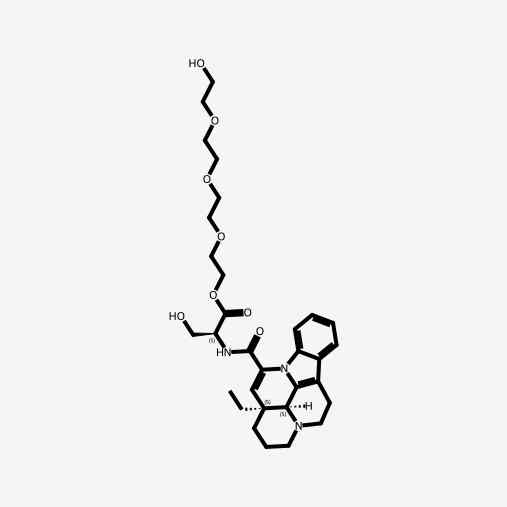 CC[C@@]12C=C(C(=O)N[C@@H](CO)C(=O)OCCOCCOCCOCCO)n3c4c(c5ccccc53)CCN(CCC1)[C@H]42